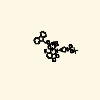 C[C@H](NC(=O)OCC1c2ccccc2-c2ccccc21)c1nc2c(F)ccc(Cl)c2c(=O)n1C1C2CN(C(=O)OC(C)(C)C)CC21